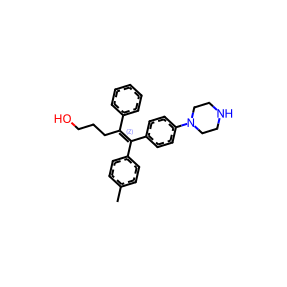 Cc1ccc(/C(=C(\CCCO)c2ccccc2)c2ccc(N3CCNCC3)cc2)cc1